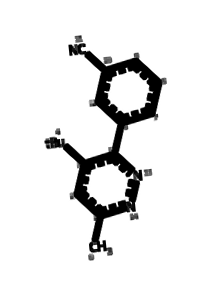 Cc1cc(C(C)(C)C)c(-c2cccc(C#N)c2)nn1